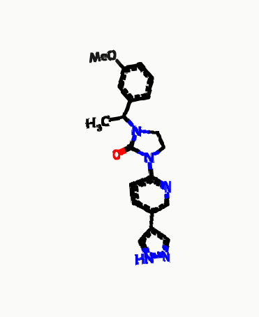 COc1cccc(C(C)N2CCN(c3ccc(-c4cn[nH]c4)cn3)C2=O)c1